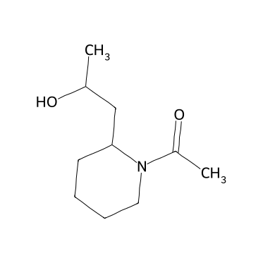 CC(=O)N1CCCCC1CC(C)O